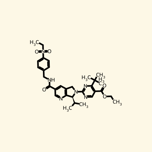 CCOC(=O)c1cnc(N2Cc3cc(C(=O)NCc4ccc(S(=O)(=O)CC)cc4)cnc3[C@@H]2C(C)C)nc1C(C)(C)C